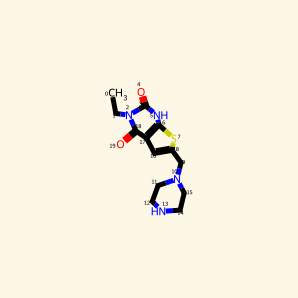 CCn1c(=O)[nH]c2sc(CN3CCNCC3)cc2c1=O